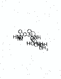 C[C@@H](O)CNC(C)(CO)CC(=O)N[C@@H]1CCc2ccccc2N(Cc2ccc(-c3ccccc3-c3nnn[nH]3)cc2)C1=O